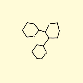 C1CCC(C2CCCSC2C2CCCCS2)SC1